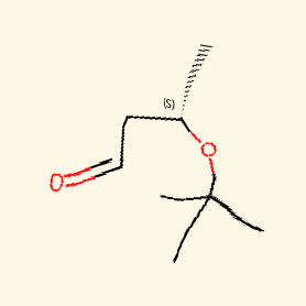 C[C@@H](CC=O)OC(C)(C)C